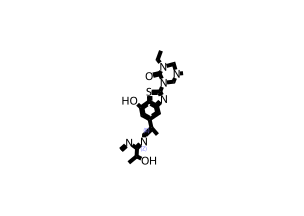 C=N/C(=N\C=C(/C)c1cc(O)c2sc(N3CN(C)CN(CC)C3=O)nc2c1)C(C)O